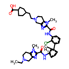 CCN1CCc2c(nc(C(=O)Nc3cccc(-c4cccc(NC(=O)c5nc6c(n5C)CCN(CCC5CCC(C(=O)O)CC5)C6)c4Cl)c3C)n2C)C1